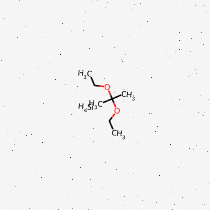 CCOC(C)(C)OCC.[SiH4]